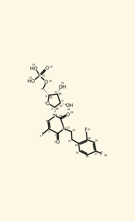 O=c1c(I)cn([C@@H]2O[C@H](COP(=O)(O)O)[C@H](O)[C@@H]2O)c(=O)n1CCc1ccc(F)cc1F